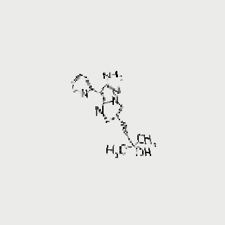 CC(C)(O)C#Cc1cnc2c(-c3ccccn3)c(N)nn2c1